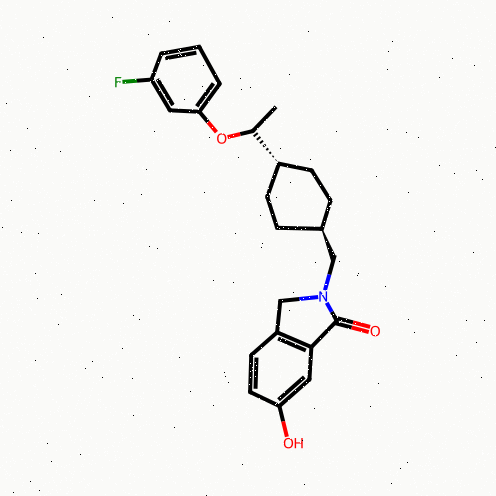 CC(Oc1cccc(F)c1)[C@H]1CC[C@H](CN2Cc3ccc(O)cc3C2=O)CC1